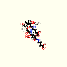 C=CC(N)=O.CC(C)(CO)[C@@H](O)C(=O)NCCCC(=O)[O-].CC(C)(CO)[C@@H](O)C(=O)NCCCC(=O)[O-].[Ca+2]